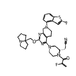 C=C(F)C(=O)N1CCN(c2nc(OCC34CCCN3CCC4)nc3c2CCN(c2cccc4sc(F)cc24)C3)C[C@@H]1CC#N